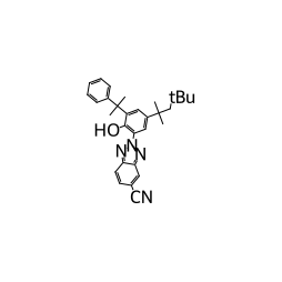 CC(C)(C)CC(C)(C)c1cc(-n2nc3ccc(C#N)cc3n2)c(O)c(C(C)(C)c2ccccc2)c1